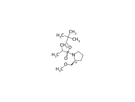 COC[C@@H]1CCCN1P(=O)(OCC(C)(C)C)C(C)C